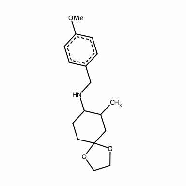 COc1ccc(CNC2CCC3(CC2C)OCCO3)cc1